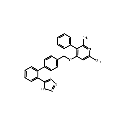 Cc1cc(OCc2ccc(-c3ccccc3-c3nnn[nH]3)cc2)c(-c2ccccc2)c(C)n1